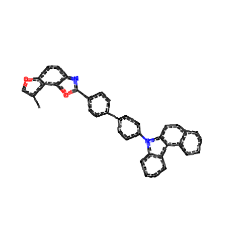 Cc1coc2ccc3nc(-c4ccc(-c5ccc(-n6c7ccccc7c7c8ccccc8ccc76)cc5)cc4)oc3c12